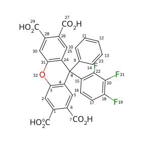 O=C(O)c1cc2c(cc1C(=O)O)C(c1ccccc1)(c1ccc(F)c(F)c1F)c1cc(C(=O)O)c(C(=O)O)cc1O2